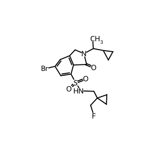 CC(C1CC1)N1Cc2cc(Br)cc(S(=O)(=O)NCC3(CF)CC3)c2C1=O